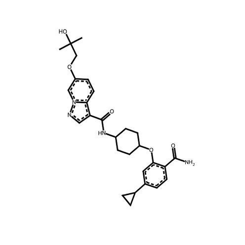 CC(C)(O)COc1ccc2c(C(=O)NC3CCC(Oc4cc(C5CC5)ccc4C(N)=O)CC3)cnn2c1